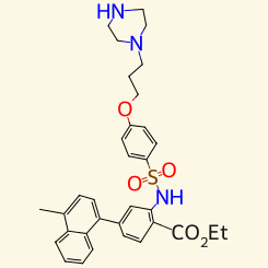 CCOC(=O)c1ccc(-c2ccc(C)c3ccccc23)cc1NS(=O)(=O)c1ccc(OCCCN2CCNCC2)cc1